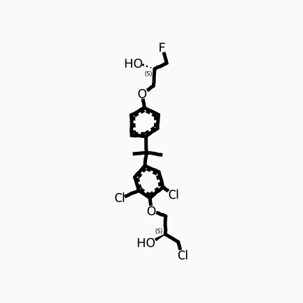 CC(C)(c1ccc(OC[C@H](O)CF)cc1)c1cc(Cl)c(OC[C@H](O)CCl)c(Cl)c1